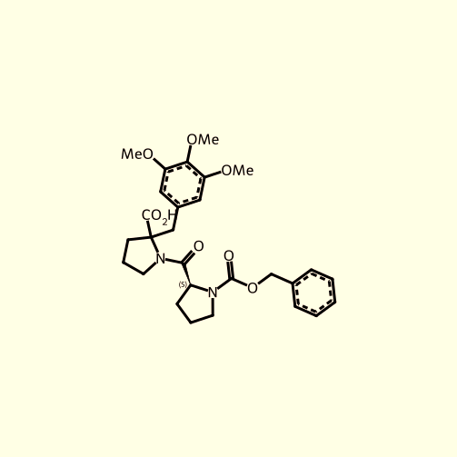 COc1cc(CC2(C(=O)O)CCCN2C(=O)[C@@H]2CCCN2C(=O)OCc2ccccc2)cc(OC)c1OC